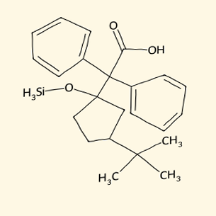 CC(C)(C)C1CCC(O[SiH3])(C(C(=O)O)(c2ccccc2)c2ccccc2)C1